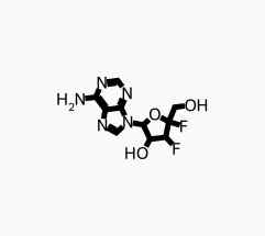 Nc1ncnc2c1ncn2C1OC(F)(CO)C(F)C1O